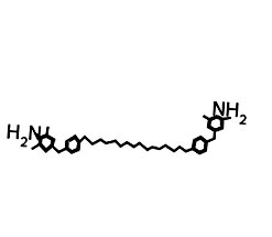 Cc1cc(Cc2ccc(CCCCCCCCCCCCCCCCc3ccc(Cc4cc(C)c(N)c(C)c4)cc3)cc2)cc(C)c1N